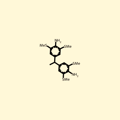 CSc1cc(C(C)c2cc(SC)c(N)c(SC)c2)cc(SC)c1N